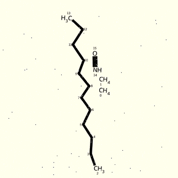 C.C.CCCCCCCCCCCC.N=O